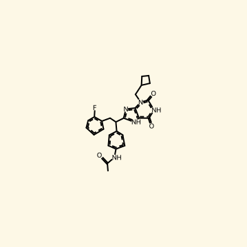 CC(=O)Nc1ccc(C(Cc2ccccc2F)c2nc3c([nH]2)c(=O)[nH]c(=O)n3CC2CCC2)cc1